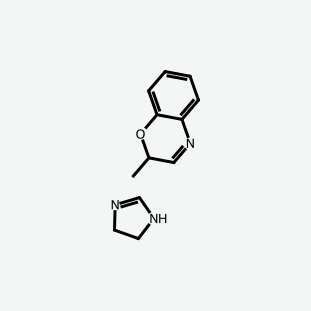 C1=NCCN1.CC1C=Nc2ccccc2O1